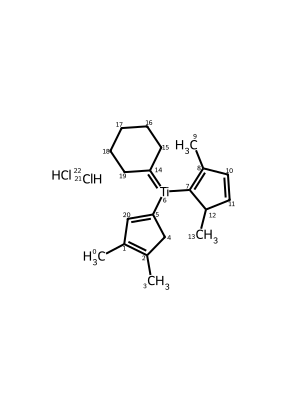 CC1=C(C)C[C]([Ti]([C]2=C(C)C=CC2C)=[C]2CCCCC2)=C1.Cl.Cl